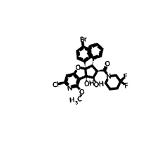 COc1nc(Cl)cc2c1[C@]1(O)[C@H](O)[C@H](C(=O)N3CCCC(F)(F)C3)[C@@H](c3ccccc3)[C@]1(c1ccc(Br)cc1)O2